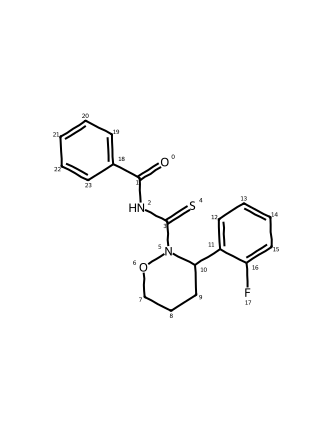 O=C(NC(=S)N1OCCCC1c1ccccc1F)c1ccccc1